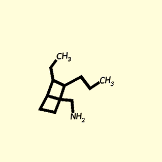 CCCC1C(CC)C2CCC12CN